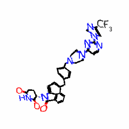 O=C1CC[C@H](N2C(=O)c3cccc4c(Cc5ccc(CN6CCN(c7ccnc(-n8cnc(C(F)(F)F)c8)n7)CC6)cc5)ccc2c34)C(=O)N1